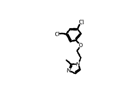 Cc1nccn1CCOc1cc(Cl)cc(Cl)c1